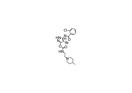 CC1CCN(CCNC(=O)Oc2n[nH]c(NC(=O)c3ccccc3Cl)c2Br)CC1